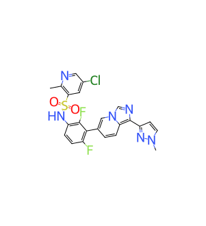 Cc1ncc(Cl)cc1S(=O)(=O)Nc1ccc(F)c(-c2ccc3c(-c4ccn(C)n4)ncn3c2)c1F